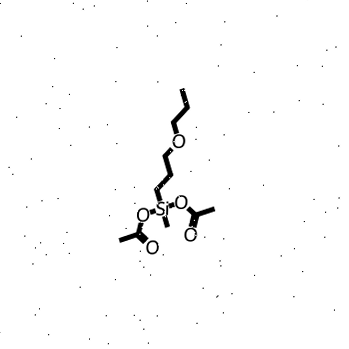 CCCOCCC[Si](C)(OC(C)=O)OC(C)=O